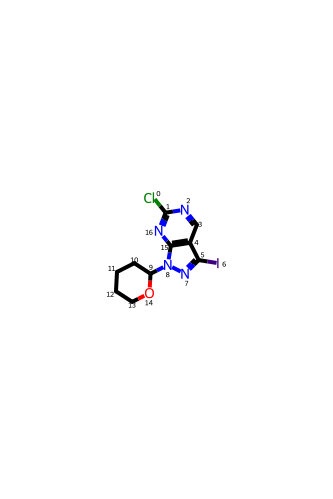 Clc1ncc2c(I)nn(C3CCCCO3)c2n1